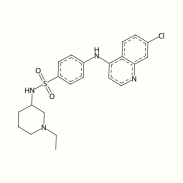 CCN1CCCC(NS(=O)(=O)c2ccc(Nc3ccnc4cc(Cl)ccc34)cc2)C1